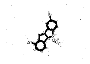 Brc1ccc2c(c1)C1=Cc3[c]([Zr+3])cccc3C1S2.[Cl-].[Cl-].[Cl-]